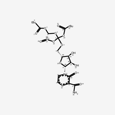 CC(C)(C)C(=O)OCOC(OC[C@H]1O[C@@H](n2ccnc(C(N)=O)c2=O)[C@H](O)[C@@H]1O)(O[PH2]=O)OC(=O)C(C)(C)C